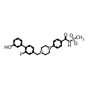 CS(=O)(=O)NC(=O)c1ccc(N2CCN(Cc3ccc(-c4cccc(O)c4)c(F)c3)CC2)cc1